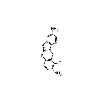 Nc1cnc2c(cnn2Cc2c(F)ccc(N)c2F)c1